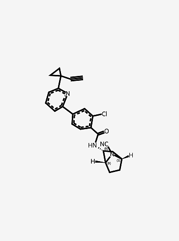 C#CC1(c2cccc(-c3ccc(C(=O)N[C@@H]4C[C@@H]5CC[C@H]4N5C#N)c(Cl)c3)n2)CC1